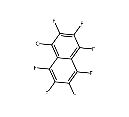 [O]c1c(F)c(F)c(F)c2c(F)c(F)c(F)c(F)c12